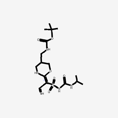 CC(C)NC(=O)NS(=O)(=O)/C(C=N)=C1/NCC(CNC(=O)OC(C)(C)C)CO1